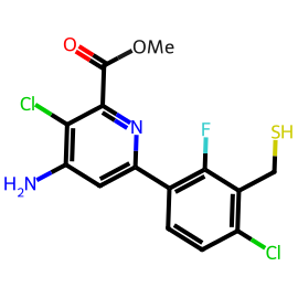 COC(=O)c1nc(-c2ccc(Cl)c(CS)c2F)cc(N)c1Cl